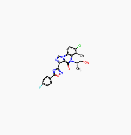 CC(CO)n1c(=O)c2c(-c3noc(-c4ccc(F)cc4)n3)ncn2c2ccc(Cl)c(C#N)c21